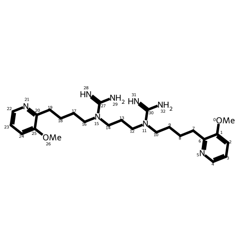 COc1cccnc1CCCCN(CCCN(CCCCc1ncccc1OC)C(=N)N)C(=N)N